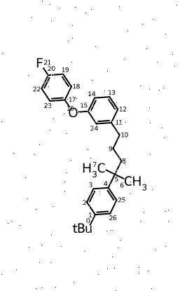 CC(C)(C)c1ccc(C(C)(C)CCCc2cccc(Oc3ccc(F)cc3)c2)cc1